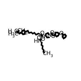 CCCCCCCNC(=O)ON(CCCCCCCc1ccc(CC(C)(C)C)cc1)C(=O)OC1CCN(C(=O)Oc2ccc(Oc3ccccc3)cc2)CC1